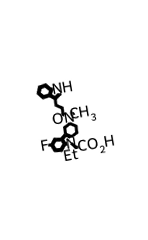 CCC(C(=O)O)n1c2c(c3cc(F)ccc31)CC(N(C)C(=O)CCc1c[nH]c3ccccc13)CC2